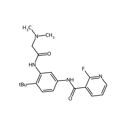 CN(C)CC(=O)Nc1cc(NC(=O)c2cccnc2F)ccc1C(C)(C)C